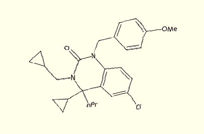 CCCC1(C2CC2)c2cc(Cl)ccc2N(Cc2ccc(OC)cc2)C(=O)N1CC1CC1